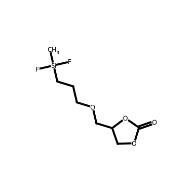 C[Si](F)(F)CCCOCC1COC(=O)O1